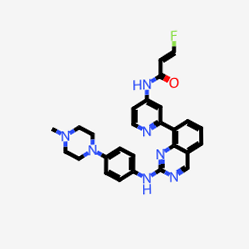 CN1CCN(c2ccc(Nc3ncc4cccc(-c5cc(NC(=O)/C=C/F)ccn5)c4n3)cc2)CC1